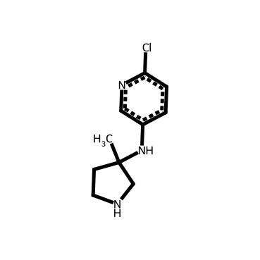 CC1(Nc2ccc(Cl)nc2)CCNC1